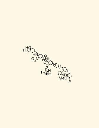 COc1cc(CN2CCN(C3CC4(CCN(c5ccc(C(=O)NS(=O)(=O)c6ccc(NCC7CCC(C)(O)CC7)c([N+](=O)[O-])c6)c(Oc6cnc7[nH]cc(F)c7c6)c5)CC4)C3)C(c3ccccc3C(C)C)C2)ccc1C1CC1